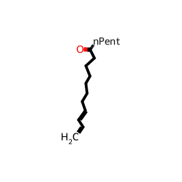 C=C/C=C/CCCCCCC(=O)CCCCC